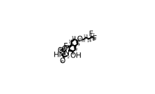 O=C1CN(c2c(O)cc3cc(OCCCC(F)F)ccc3c2F)S(=O)(=O)N1